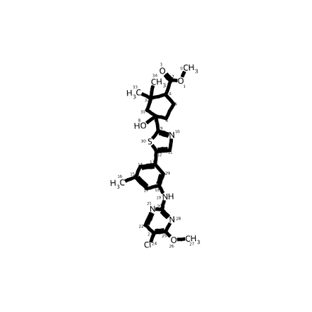 COC(=O)C1CCC(O)(c2ncc(-c3cc(C)cc(Nc4ncc(Cl)c(OC)n4)c3)s2)CC1(C)C